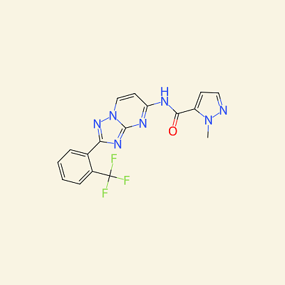 Cn1nccc1C(=O)Nc1ccn2nc(-c3ccccc3C(F)(F)F)nc2n1